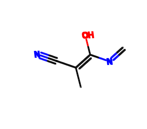 C=N/C(O)=C(\C)C#N